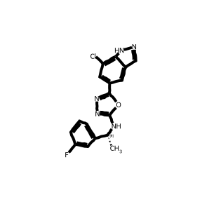 C[C@@H](Nc1nnc(-c2cc(Cl)c3[nH]ncc3c2)o1)c1cccc(F)c1